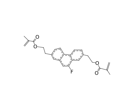 C=C(C)C(=O)OCCc1ccc2c(c1)cc(F)c1cc(CCOC(=O)C(=C)C)ccc12